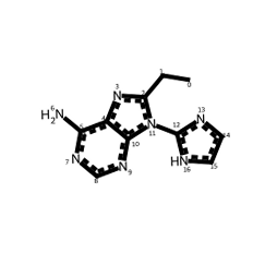 CCc1nc2c(N)ncnc2n1-c1ncc[nH]1